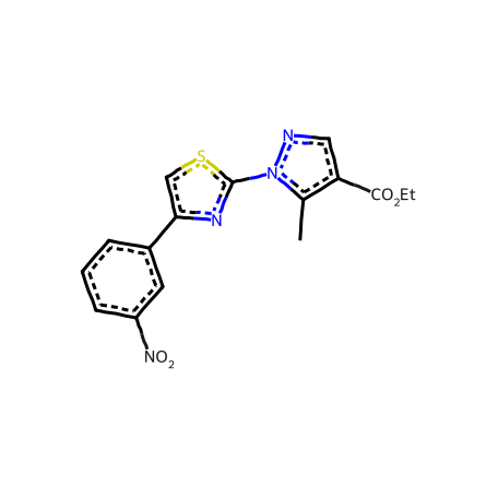 CCOC(=O)c1cnn(-c2nc(-c3cccc([N+](=O)[O-])c3)cs2)c1C